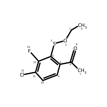 CCOSc1c(C(C)=O)ccc(Cl)c1F